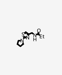 CCC(=O)NCc1csc(N2CCCC2)n1